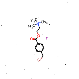 C[N+](C)(C)CCOC(=O)c1ccc(CBr)cc1.[I-]